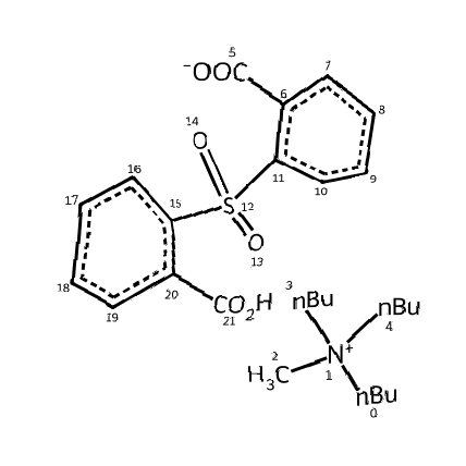 CCCC[N+](C)(CCCC)CCCC.O=C([O-])c1ccccc1S(=O)(=O)c1ccccc1C(=O)O